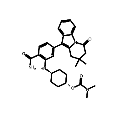 CN(C)C(=O)O[C@H]1CC[C@H](Nc2cc(-c3c4n(c5ccccc35)C(=O)CC(C)(C)C4)ccc2C(N)=O)CC1